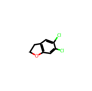 Clc1cc2c(cc1Cl)O[CH]C2